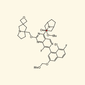 CCc1c(F)ccc2cc(OCOC)cc(-c3ncc4c(N5CC6CCC(C5)N6C(=O)OC(C)(C)C)nc(OCC56CCCN5CC5(COC5)C6)nc4c3F)c12